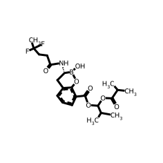 CC(C)C(=O)OC(OC(=O)c1cccc2c1OB(O)[C@@H](NC(=O)CCC(C)(F)F)C2)C(C)C